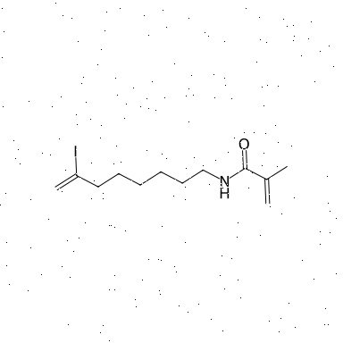 C=C(I)CCCCCCNC(=O)C(=C)C